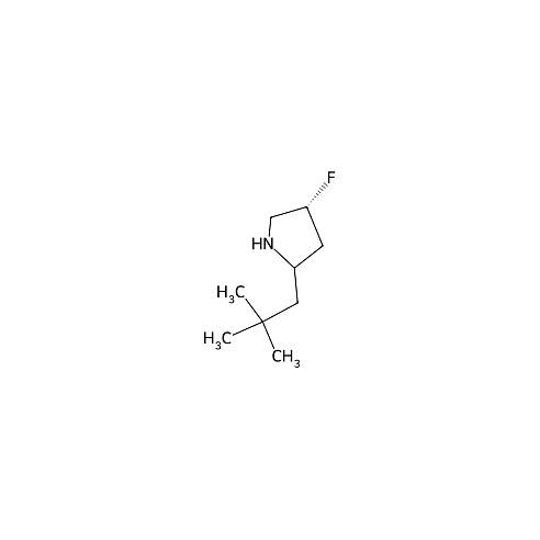 CC(C)(C)CC1C[C@@H](F)CN1